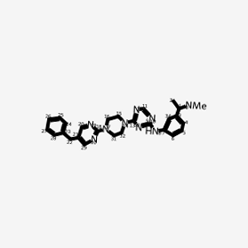 CNC(C)c1cccc(Nc2ncnc(N3CCN(c4ncc(Cc5ccccc5)cn4)CC3)n2)c1